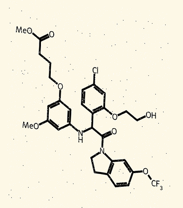 COC(=O)CCCOc1cc(NC(C(=O)N2CCc3ccc(OC(F)(F)F)cc32)c2ccc(Cl)cc2OCCO)cc(OC)c1